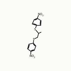 CC(CSc1ccc([N+](=O)[O-])cc1)Sc1ccc([N+](=O)[O-])cc1